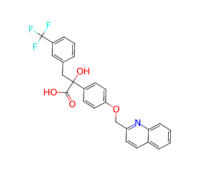 O=C(O)C(O)(Cc1cccc(C(F)(F)F)c1)c1ccc(OCc2ccc3ccccc3n2)cc1